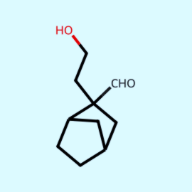 O=CC1(CCO)CC2CCC1C2